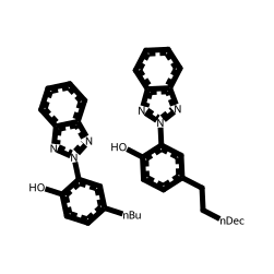 CCCCCCCCCCCCc1ccc(O)c(-n2nc3ccccc3n2)c1.CCCCc1ccc(O)c(-n2nc3ccccc3n2)c1